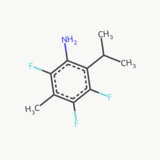 Cc1c(F)c(N)c(C(C)C)c(F)c1F